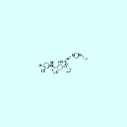 O=C(C=CCN1CCN(CC2CC2)CC1)Nc1cc2c(Nc3ccc(F)c(Cl)c3)ncnc2cc1OC1CCC1